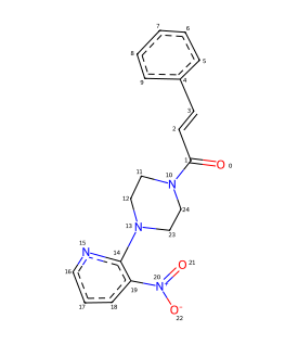 O=C(C=Cc1ccccc1)N1CCN(c2ncccc2[N+](=O)[O-])CC1